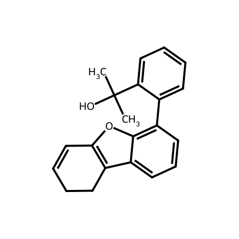 CC(C)(O)c1ccccc1-c1cccc2c3c(oc12)C=CCC3